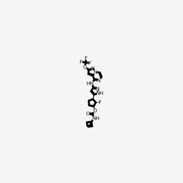 O=C(NC12CC(C1)C2)O[C@H]1CC[C@@H](c2cc(Nc3nccn4nc(OC(F)(F)F)cc34)n[nH]2)[C@@H]1F